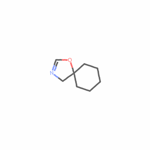 C1=NCC2(CCCCC2)O1